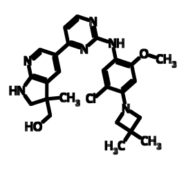 COc1cc(N2CC(C)(C)C2)c(Cl)cc1Nc1nccc(-c2cnc3c(c2)C(C)(CO)CN3)n1